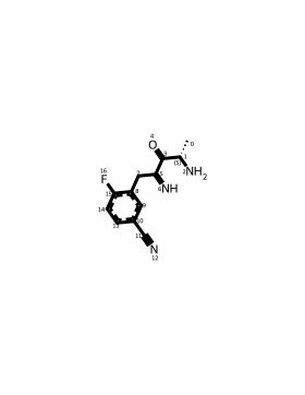 C[C@H](N)C(=O)C(=N)Cc1cc(C#N)ccc1F